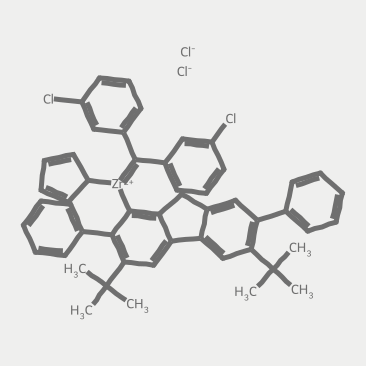 CC(C)(C)c1cc2c(cc1-c1ccccc1)Cc1c-2cc(C(C)(C)C)c(-c2ccccc2)[c]1[Zr+2](=[C](c1cccc(Cl)c1)c1cccc(Cl)c1)[CH]1C=CC=C1.[Cl-].[Cl-]